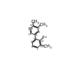 Cc1cc(-c2cccc(C)c2F)cnc1C